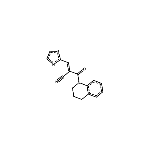 N#C/C(=C\c1nccs1)C(=O)N1CCCc2ccccc21